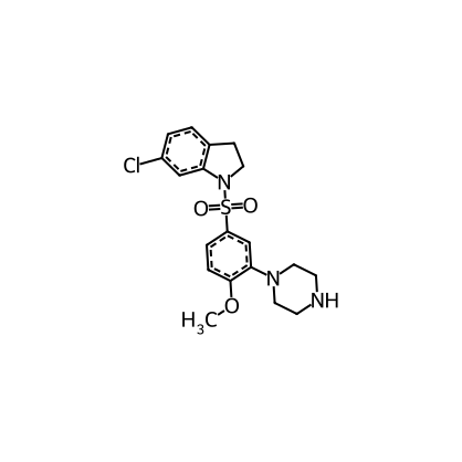 COc1ccc(S(=O)(=O)N2CCc3ccc(Cl)cc32)cc1N1CCNCC1